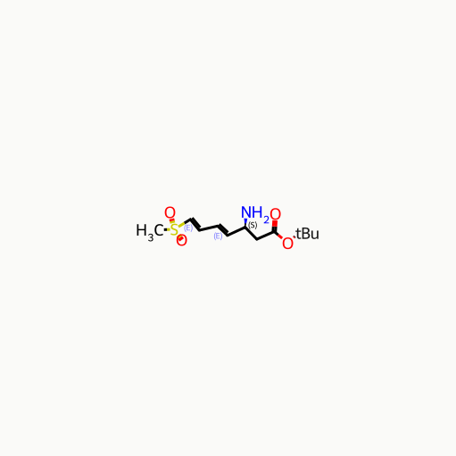 CC(C)(C)OC(=O)C[C@H](N)/C=C/C=C/S(C)(=O)=O